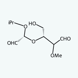 COC(C=O)[C@@H](CO)O[C@H](C=O)OC(C)C